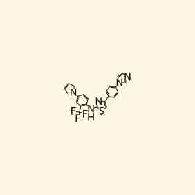 FC(F)(F)c1cc(N2CC=CC2)ccc1Nc1nc(-c2ccc(-n3ccnc3)cc2)cs1